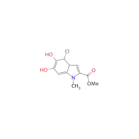 COC(=O)C1=CC2C(=CC(O)=C(O)C2Cl)N1C